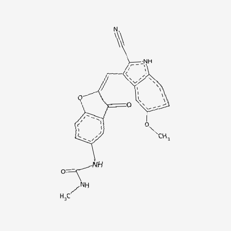 CNC(=O)Nc1ccc2c(c1)C(=O)C(=Cc1c(C#N)[nH]c3ccc(OC)cc13)O2